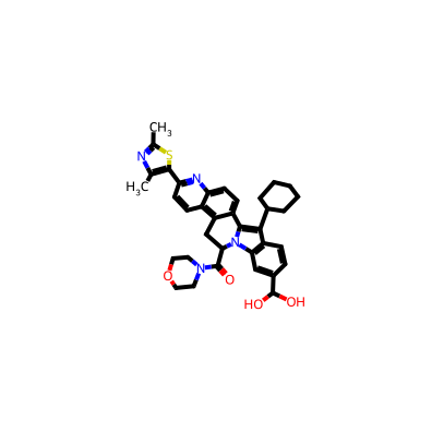 Cc1nc(C)c(-c2ccc3c4c(ccc3n2)-c2c(C3CCCCC3)c3ccc(C(O)O)cc3n2C(C(=O)N2CCOCC2)C4)s1